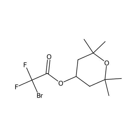 CC1(C)CC(OC(=O)C(F)(F)Br)CC(C)(C)O1